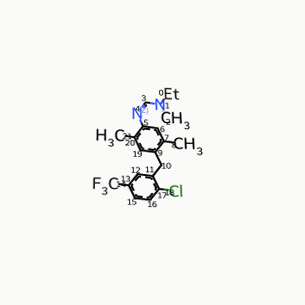 CCN(C)/C=N\c1cc(C)c(Cc2cc(C(F)(F)F)ccc2Cl)cc1C